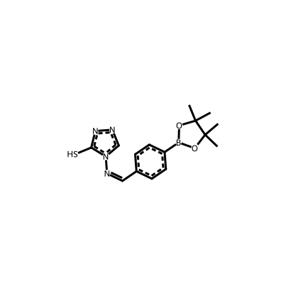 CC1(C)OB(c2ccc(/C=N\n3cnnc3S)cc2)OC1(C)C